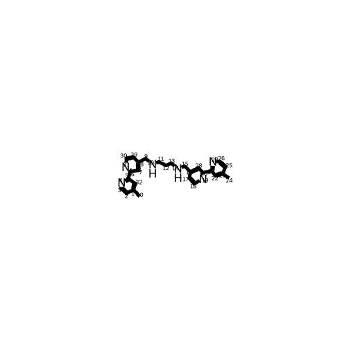 Cc1ccnc(-c2cc(CNCCCNCc3ccnc(-c4cc(C)ccn4)c3)ccn2)c1